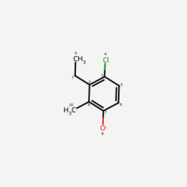 CCc1c(Cl)ccc([O])c1C